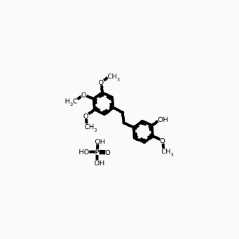 COc1ccc(CCc2cc(OC)c(OC)c(OC)c2)cc1O.O=P(O)(O)O